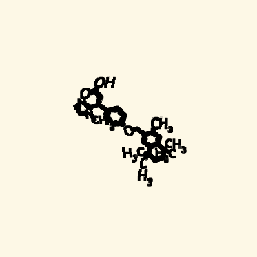 Cc1cc2c(cc1COc1ccc(C(CC(=O)O)c3nccn3C)cc1)C(C)(C)CCC2(C)C